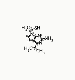 CC(C)c1nc(N)nc2c1ccn2[C@H](C)S